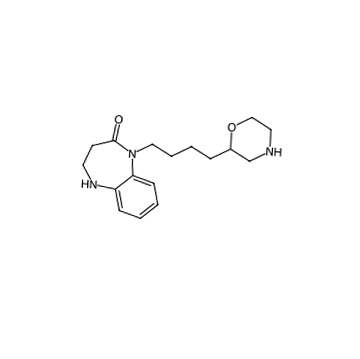 O=C1CCNc2ccccc2N1CCCCC1CNCCO1